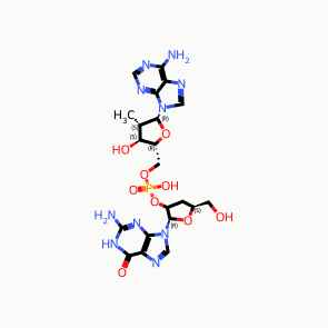 C[C@H]1[C@H](O)[C@@H](COP(=O)(O)OC2C[C@@H](CO)O[C@H]2n2cnc3c(=O)[nH]c(N)nc32)O[C@H]1n1cnc2c(N)ncnc21